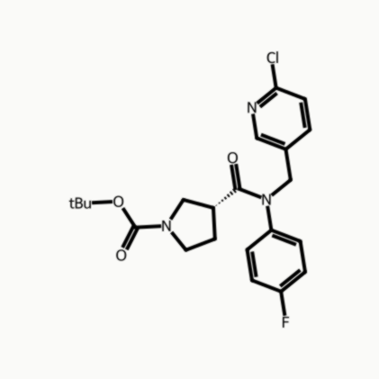 CC(C)(C)OC(=O)N1CC[C@@H](C(=O)N(Cc2ccc(Cl)nc2)c2ccc(F)cc2)C1